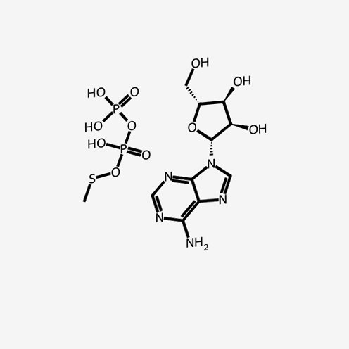 CSOP(=O)(O)OP(=O)(O)O.Nc1ncnc2c1ncn2[C@@H]1O[C@H](CO)[C@@H](O)[C@H]1O